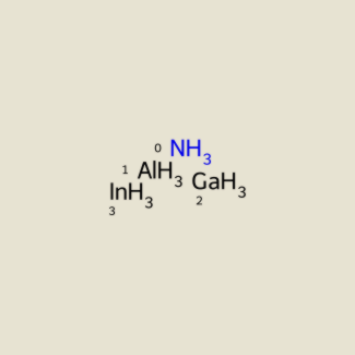 N.[AlH3].[GaH3].[InH3]